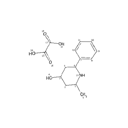 CC1CC(O)CC(c2ccccc2)N1.O=C(O)C(=O)O